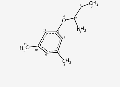 CCC(N)Oc1cc(C)cc(C)c1